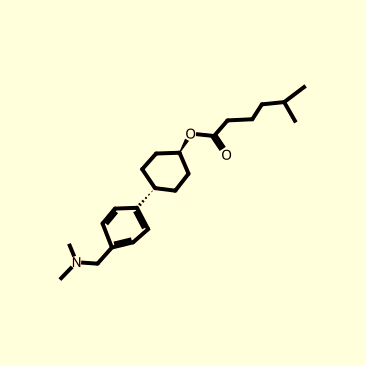 CC(C)CCCC(=O)O[C@H]1CC[C@H](c2ccc(CN(C)C)cc2)CC1